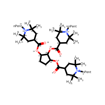 CCCCCN1C(C)(C)CC(C(=O)OC2CCC(OC(=O)C3CC(C)(C)N(CCCCC)C(C)(C)C3)C2OC(=O)C2CC(C)(C)N(CCCCC)C(C)(C)C2)CC1(C)C